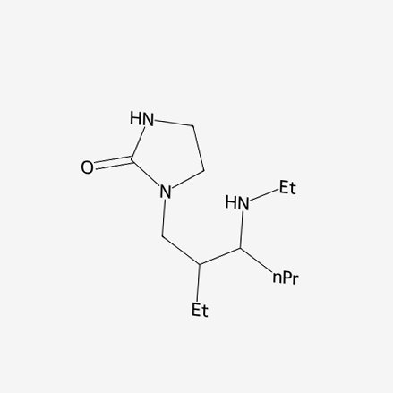 CCCC(NCC)C(CC)CN1CCNC1=O